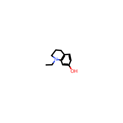 CCN1CCCc2ccc(O)cc21